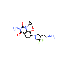 COc1c(N2CC(CCN)C(F)(F)C2)ccc2c(=O)n(N)c(=O)n(C3CC3)c12